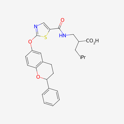 CC(C)CC(CNC(=O)c1cnc(Oc2ccc3c(c2)CCC(c2ccccc2)O3)s1)C(=O)O